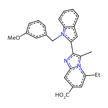 CCc1cc(C(=O)O)cc2nc(-c3cc4ccccc4n3Cc3cccc(OC)c3)c(C)n12